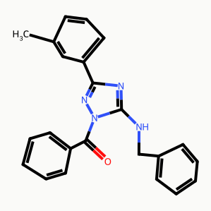 Cc1cccc(-c2nc(NCc3ccccc3)n(C(=O)c3ccccc3)n2)c1